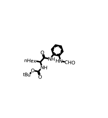 CCCCCCC(NC(=O)OC(C)(C)C)C(=O)Nc1ccccc1NC=O